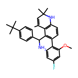 COc1cc(F)ccc1-c1ccc2c(c1C(N)c1ccc(C(C)(C)C)cc1)C(C)=CC(C)(C)N2